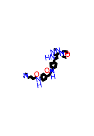 CN(C)C/C=C/C(=O)Nc1ccc(CC(=O)Nc2ccc(-c3cc4c(N5CCOCC5)ncnc4[nH]3)cc2)cc1